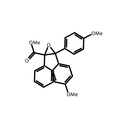 COC(=O)C1(c2ccccc2)OC1(c1ccc(OC)cc1)c1ccc(OC)cc1